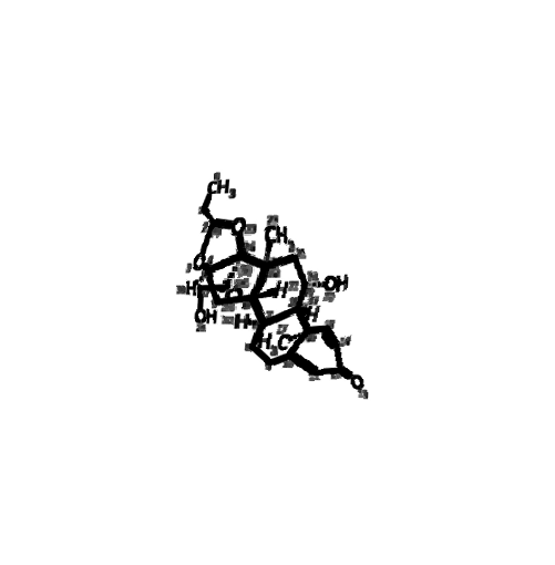 CC[C@@H]1O[C@@H]2C[C@H]3[C@@H]4CCC5=CC(=O)C=C[C@]5(C)[C@H]4[C@@H](O)C[C@]3(C)[C@]2(C(=O)CO)O1